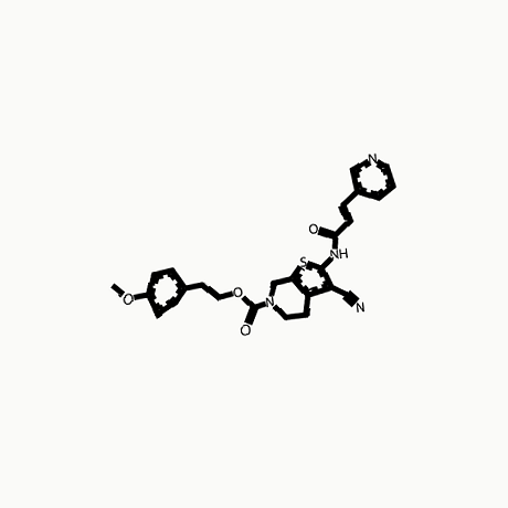 COc1ccc(CCOC(=O)N2CCc3c(sc(NC(=O)/C=C/c4cccnc4)c3C#N)C2)cc1